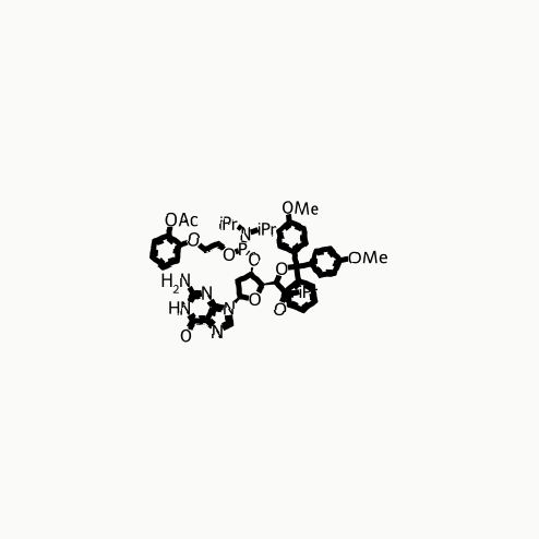 COc1ccc(C(OC(C(=O)C(C)C)[C@H]2O[C@@H](n3cnc4c(=O)[nH]c(N)nc43)C[C@@H]2OP(OCCOc2ccccc2OC(C)=O)N(C(C)C)C(C)C)(c2ccccc2)c2ccc(OC)cc2)cc1